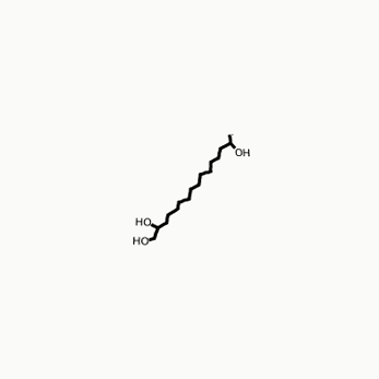 [CH2]C(O)CCCCCCCCCCCCC(O)CO